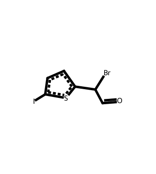 O=CC(Br)c1ccc(I)s1